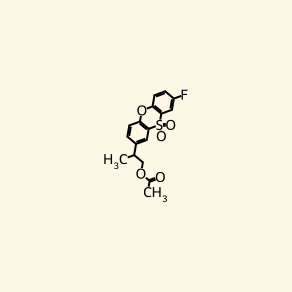 CC(=O)OCC(C)c1ccc2c(c1)S(=O)(=O)c1cc(F)ccc1O2